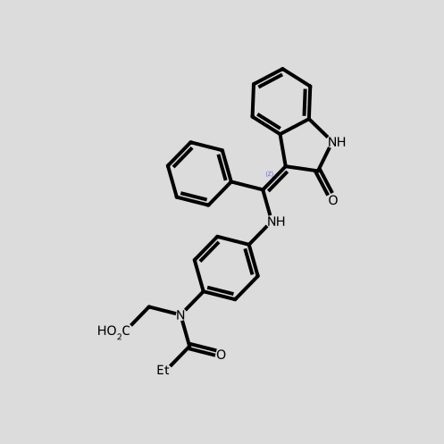 CCC(=O)N(CC(=O)O)c1ccc(N/C(=C2\C(=O)Nc3ccccc32)c2ccccc2)cc1